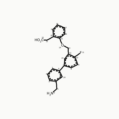 NCc1cccc(-c2ccc(F)c(COc3ccccc3CC(=O)O)c2)c1